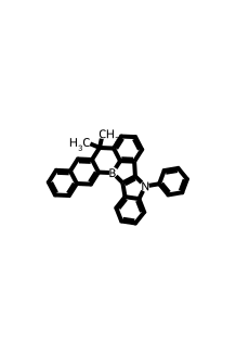 CC1(C)c2cc3ccccc3cc2B2c3c(cccc31)-c1c2c2ccccc2n1-c1ccccc1